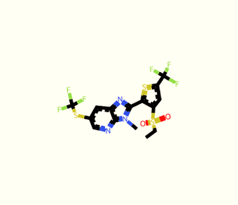 CCS(=O)(=O)c1cc(C(F)(F)F)sc1-c1nc2cc(SC(F)(F)F)cnc2n1C